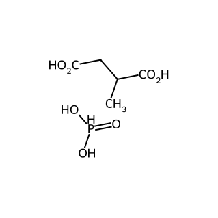 CC(CC(=O)O)C(=O)O.O=[PH](O)O